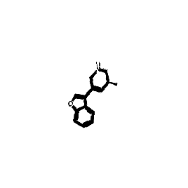 C[C@H]1C=C(c2coc3ccccc23)CNC1